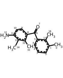 Cc1cccc(C(=O)c2ccc(N)c(C)c2C)c1C